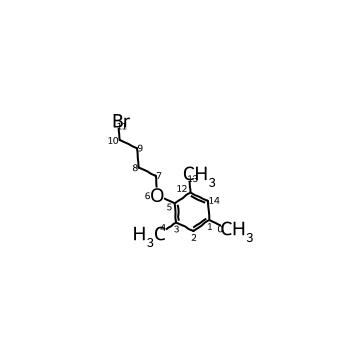 Cc1cc(C)c(OCCCCBr)c(C)c1